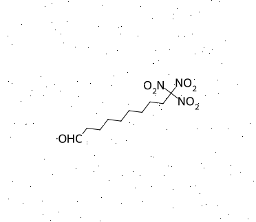 O=[C]CCCCCCCCC([N+](=O)[O-])([N+](=O)[O-])[N+](=O)[O-]